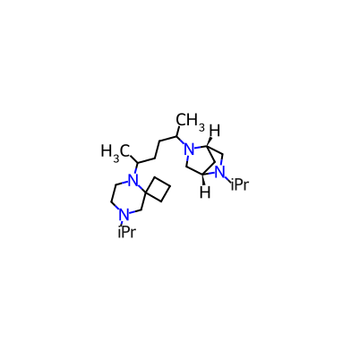 CC(C)N1CCN(C(C)CCC(C)N2C[C@@H]3C[C@H]2CN3C(C)C)C2(CCC2)C1